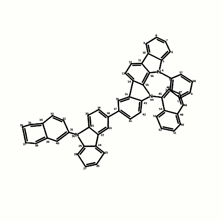 c1ccc(-n2c3ccccc3c3ccc4c5cc(-c6ccc7c(c6)c6ccccc6n7-c6ccc7ccccc7c6)ccc5n(-c5cccc6ccccc56)c4c32)cc1